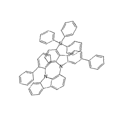 c1ccc(-c2ccc3c4c([Si](c5ccccc5)(c5ccccc5)c5ccccc5)cccc4n(-c4cccc5c6ccccc6n(-c6ccccc6-c6ccccc6)c45)c3c2)cc1